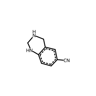 N#Cc1ccc2c(c1)CNCN2